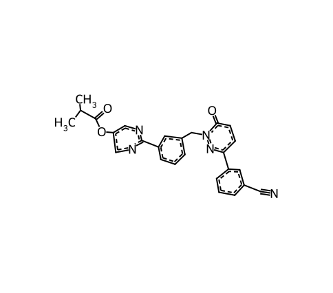 CC(C)C(=O)Oc1cnc(-c2cccc(Cn3nc(-c4cccc(C#N)c4)ccc3=O)c2)nc1